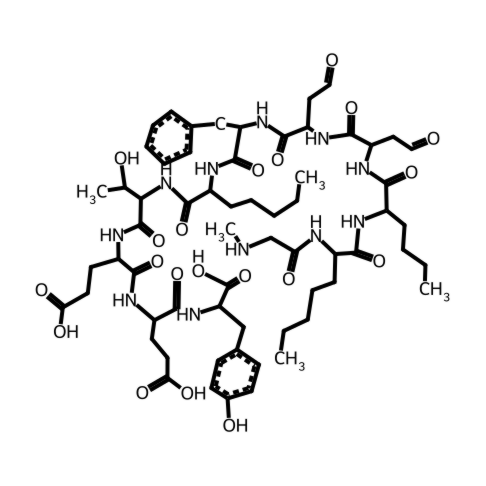 CCCCCC(NC(=O)CNC)C(=O)NC(CCCC)C(=O)NC(CC=O)C(=O)NC(CC=O)C(=O)NC(Cc1ccccc1)C(=O)NC(CCCCC)C(=O)NC(C(=O)NC(CCC(=O)O)C(=O)NC(CCC(=O)O)C(=O)NC(Cc1ccc(O)cc1)C(=O)O)C(C)O